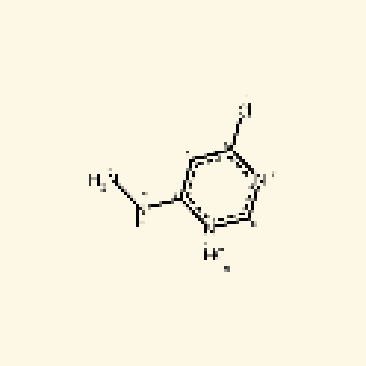 Cl.NNc1cc(Cl)ncn1